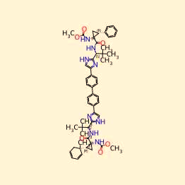 COC(=O)N[C@]1(C(=O)N[C@H](c2nc(-c3ccc(-c4ccc(-c5c[nH]c([C@@H](NC(=O)[C@@]6(NC(=O)OC)C[C@@H]6C6(C)C=CC=CC6)C(C)(C)C)n5)cc4)cc3)c[nH]2)C(C)(C)C)C[C@@H]1c1ccccc1